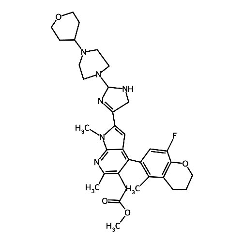 COC(=O)Cc1c(C)nc2c(cc(C3=NC(N4CCN(C5CCOCC5)CC4)NC3)n2C)c1-c1cc(F)c2c(c1C)CCCO2